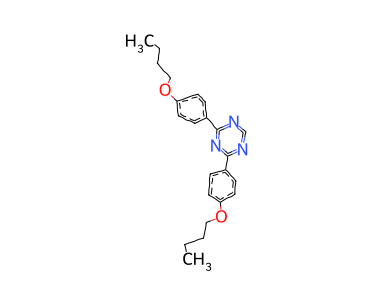 CCCCOc1ccc(-c2ncnc(-c3ccc(OCCCC)cc3)n2)cc1